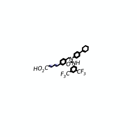 O=C(O)/C=C/C=C/c1ccc(CN(C(=O)Nc2cc(C(F)(F)F)cc(C(F)(F)F)c2)c2ccc(C3=CCCCC3)cc2)cc1